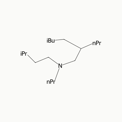 CCCC(CC(C)CC)CN(CCC)CCC(C)C